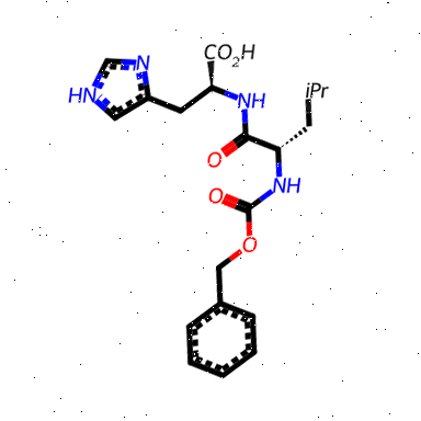 CC(C)C[C@H](NC(=O)OCc1ccccc1)C(=O)N[C@@H](Cc1c[nH]cn1)C(=O)O